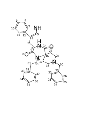 O=C1C(Cc2c[nH]c3ccccc23)NC(=O)C2(CCN(Cc3ccccc3)CC2)N1CCc1ccccc1